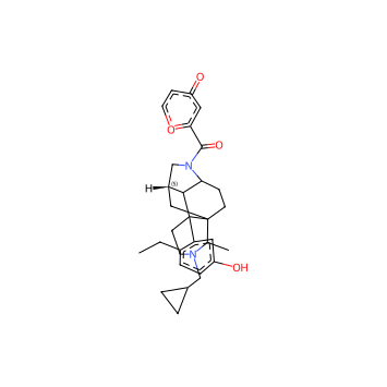 CCc1ccc(O)cc1C12CCN(CC3CC3)C(C)C13CCC1C2[C@@H](CN1C(=O)c1cc(=O)cco1)C3